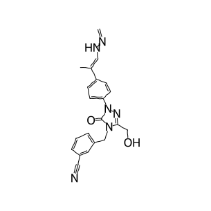 C=NN/C=C(\C)c1ccc(-n2nc(CO)n(Cc3cccc(C#N)c3)c2=O)cc1